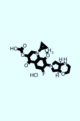 COc1c(N2C[C@@H]3OCCN[C@@H]3C2)c(F)cc2c(=O)c(OC(=O)O)cn(C3CC3)c12.Cl